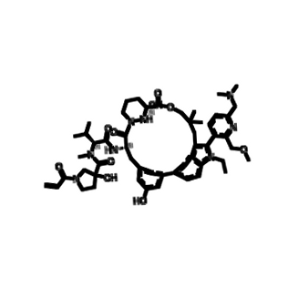 C=CC(=O)N1CCC(O)(C(=O)N(C)[C@H](C(=O)N[C@H]2Cc3cc(O)cc(c3)-c3ccc4c(c3)c(c(-c3ccc(CN(C)C)nc3COC)n4CC)CC(C)(C)COC(=O)[C@@]3(O)CCCN(N3)C2=O)C(C)C)C1